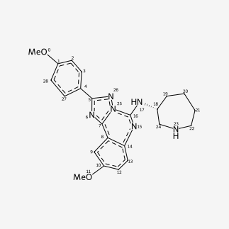 COc1ccc(-c2nc3c4cc(OC)ccc4nc(N[C@@H]4CCCCNC4)n3n2)cc1